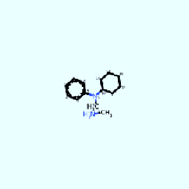 CN.CN(c1ccccc1)C1CCCCC1